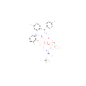 CC(C)(C)OC(=O)NC(C(=O)Nc1cccc(F)c1OC[C@@H]1CN(C(=O)OC(C)(C)C)[C@H](CO)CO1)C(c1ccc(F)cc1)c1ccc(F)cc1